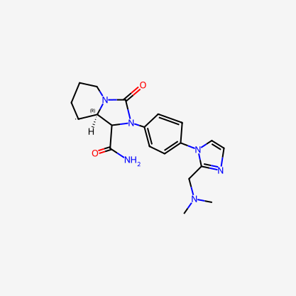 CN(C)Cc1nccn1-c1ccc(N2C(=O)N3CCC[CH][C@@H]3C2C(N)=O)cc1